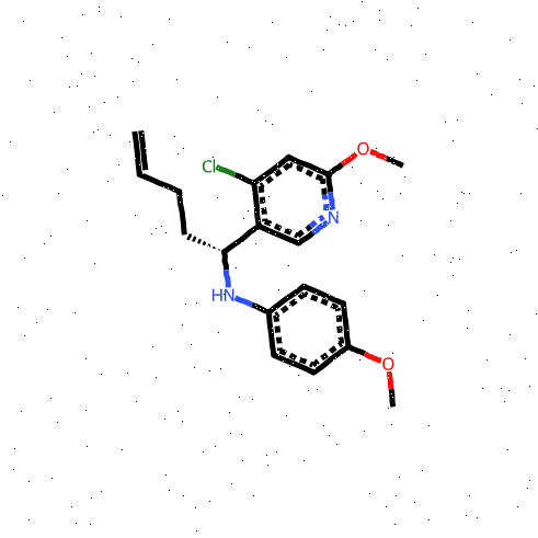 C=CCC[C@@H](Nc1ccc(OC)cc1)c1cnc(OC)cc1Cl